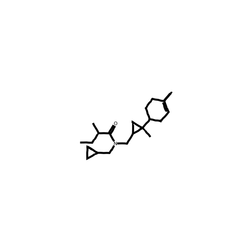 CCC(C)C(=O)N(CC1CC1)CC1CC1(C)C1CC=C(C)CC1